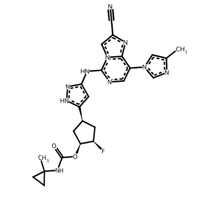 Cc1cn(-c2cnc(Nc3cc([C@H]4C[C@@H](F)[C@@H](OC(=O)NC5(C)CC5)C4)[nH]n3)n3cc(C#N)nc23)cn1